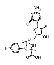 CC(C)(NP(=O)(OC[C@H]1S[C@@H](n2ccc(N)nc2=O)[C@@H](F)[C@@H]1O)Oc1ccc(I)cc1)C(=O)O